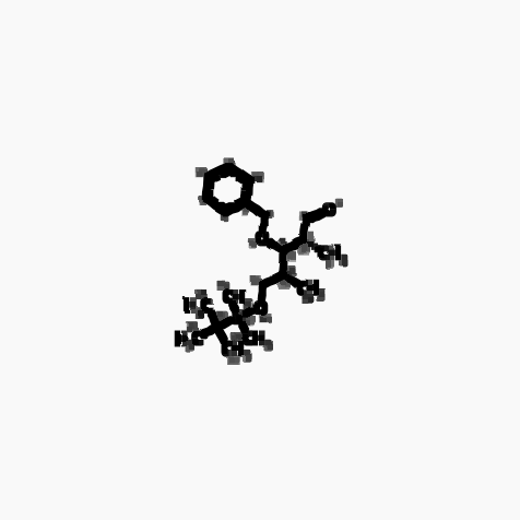 C[C@@H](C=O)[C@H](OCc1ccccc1)[C@@H](C)CO[Si](C)(C)C(C)(C)C